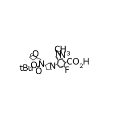 Cn1cc2c(N3CC[C@H](N(CC45CC(CO4)C5)C(=O)OC(C)(C)C)C3)cc(F)c(C(=O)O)c2n1